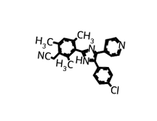 Cc1cc(C)c(-c2nc(-c3ccncc3)c(-c3ccc(Cl)cc3)[nH]2)c(C)c1CC#N